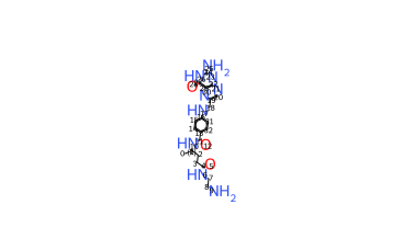 C[C@H](CCC(=O)NCCN)NC(=O)c1ccc(NCc2cnc3nc(N)[nH]c(=O)c3n2)cc1